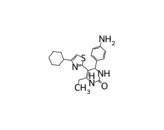 CCC1=C(c2nc(C3CCCCC3)cs2)C(c2ccc(N)cc2)NC(=O)N1